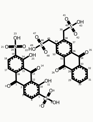 O=C1c2ccc(S(=O)(=O)O)c(O)c2C(=O)c2c1ccc(S(=O)(=O)O)c2O.O=C1c2ccccc2C(=O)c2cc(CS(=O)(=O)O)c(CS(=O)(=O)O)cc21